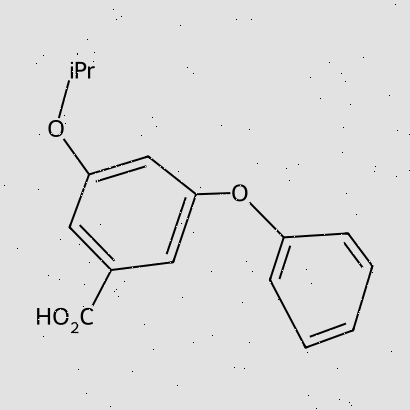 CC(C)Oc1cc(Oc2ccccc2)cc(C(=O)O)c1